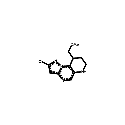 COCC1CCNc2cnc3cc(Cl)nn3c21